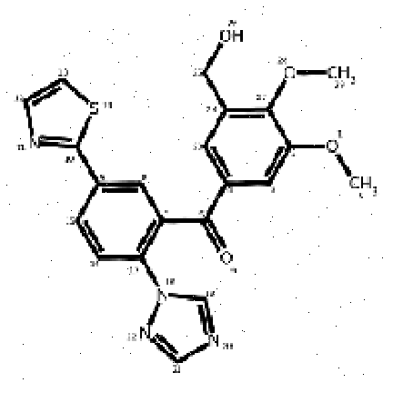 COc1cc(C(=O)c2cc(-c3nccs3)ccc2-n2cncn2)cc(CO)c1OC